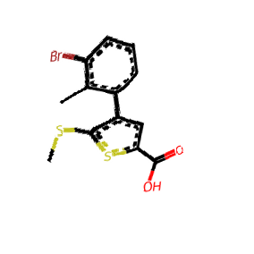 CSc1sc(C(=O)O)cc1-c1cccc(Br)c1C